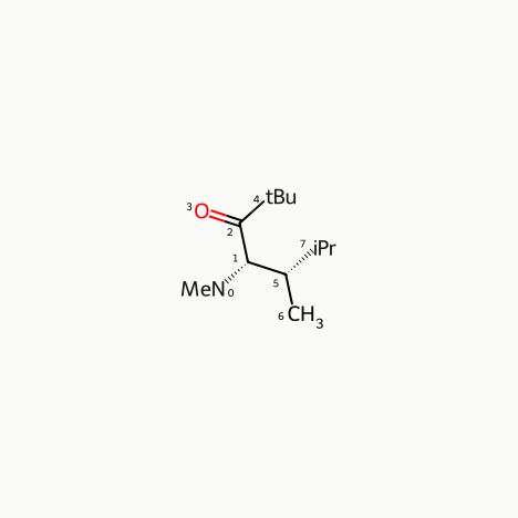 CN[C@H](C(=O)C(C)(C)C)[C@@H](C)C(C)C